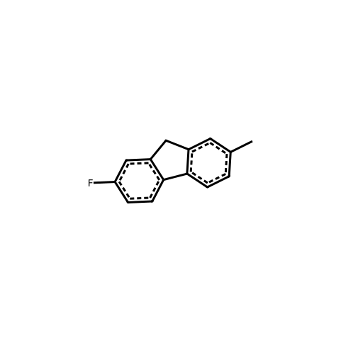 Cc1ccc2c(c1)Cc1cc(F)ccc1-2